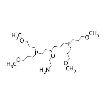 COCCCP(CCCOC)CCCC(CCP(CCCOC)CCCOC)OCCN